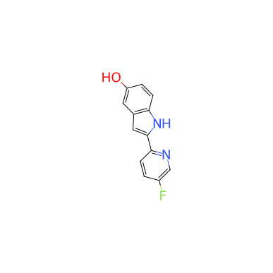 Oc1ccc2[nH]c(-c3ccc(F)cn3)cc2c1